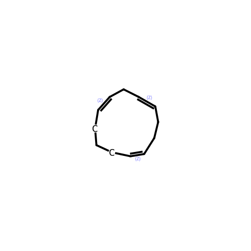 C1=C\CC/C=C\CCC/C=C\C/1